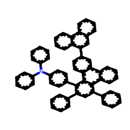 c1ccc(-c2cc(-c3ccccc3)c3c4ccccc4c4cc(-c5cc6ccccc6c6ccccc56)ccc4c3c2-c2ccc(N(c3ccccc3)c3ccccc3)cc2)cc1